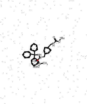 CON(C)C(=O)[C@H](Cc1ccc(CNC(=O)OC(C)(C)C)cc1)NC(c1ccccc1)(c1ccccc1)c1ccccc1